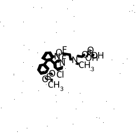 CCN(CCOP(=O)(O)O)CCC(F)(F)On1c2cccc(-c3cccc(S(=O)(=O)CC)c3)c2c2cc(Cl)cnc21